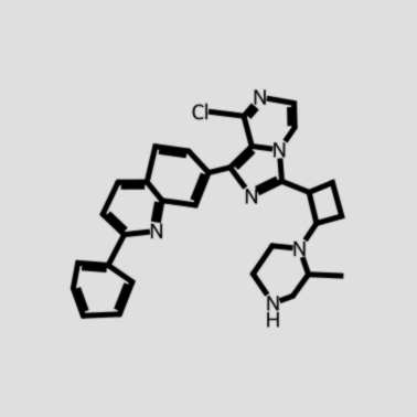 CC1CNCCN1C1CCC1c1nc(-c2ccc3ccc(-c4ccccc4)nc3c2)c2c(Cl)nccn12